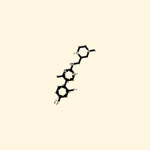 Cc1nc(NCC2CN(C)CCO2)ncc1-c1ccc(C(F)(F)F)cc1F